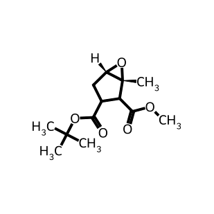 COC(=O)C1C(C(=O)OC(C)(C)C)C[C@@H]2O[C@]12C